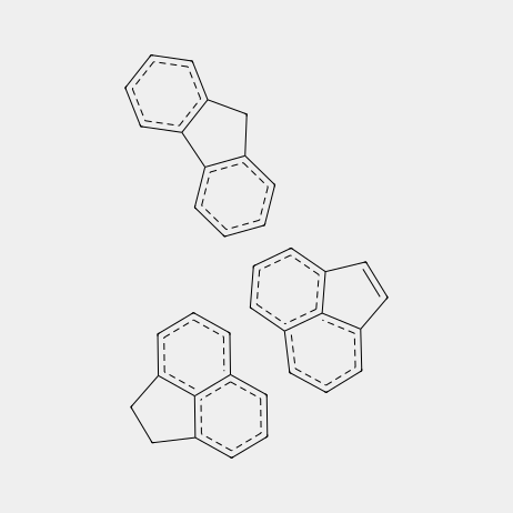 C1=Cc2cccc3cccc1c23.c1cc2c3c(cccc3c1)CC2.c1ccc2c(c1)Cc1ccccc1-2